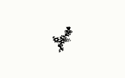 NC1(c2ccnc(-c3cnn(S(=O)(=O)C4CC4)c3)n2)C=C(NC2CCC(F)CC2)C(c2nc(C(F)F)cs2)=CN1